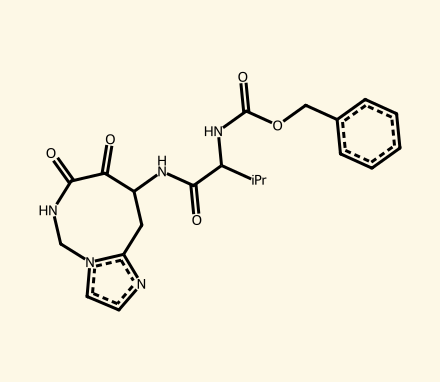 CC(C)C(NC(=O)OCc1ccccc1)C(=O)NC1Cc2nccn2CNC(=O)C1=O